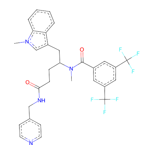 CN(C(=O)c1cc(C(F)(F)F)cc(C(F)(F)F)c1)C(CCC(=O)NCc1ccncc1)Cc1cn(C)c2ccccc12